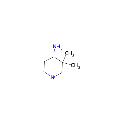 CC1(C)C[N]CCC1N